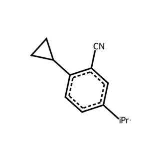 C[C](C)c1ccc(C2CC2)c(C#N)c1